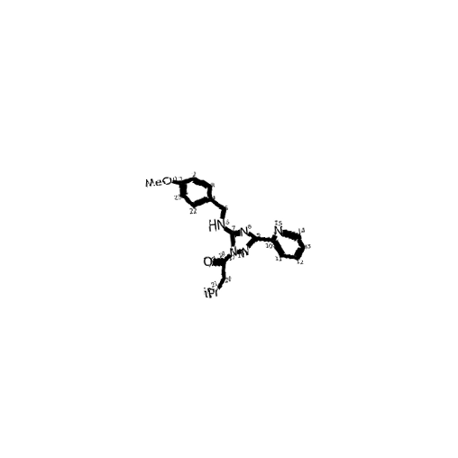 COc1ccc(CNc2nc(-c3ccccn3)nn2C(=O)CC(C)C)cc1